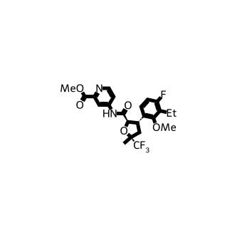 CCc1c(F)ccc([C@@H]2C[C@](C)(C(F)(F)F)O[C@H]2C(=O)Nc2ccnc(C(=O)OC)c2)c1OC